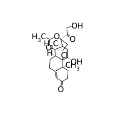 CC1O[C@@]2(C(=O)CO)CC[C@@]3(O1)[C@@H]1CCC4=CC(=O)CC[C@]4(C)[C@@]1(Cl)[C@@H](O)C[C@]23C